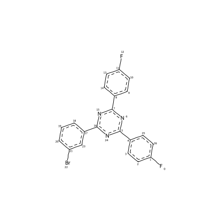 Fc1ccc(-c2nc(-c3ccc(F)cc3)nc(-c3cccc(Br)c3)n2)cc1